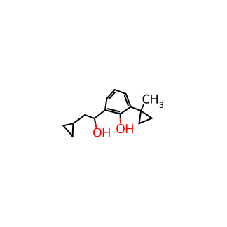 CC1(c2cccc(C(O)CC3CC3)c2O)CC1